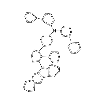 c1ccc(-c2cccc(N(c3ccc(-c4cccc(-n5c6ccccc6c6cc7ccccc7cc65)c4-c4ccccc4)cc3)c3cccc(-c4ccccc4)c3)c2)cc1